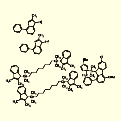 CC1=C(C)[CH]([Ge]([CH3])([CH3])[CH2]CCCCCC[CH2][Ge]([CH3])([CH3])[CH]2C(C)=C(C)c3ccccc32)c2ccccc21.CC1=C(C)[CH]([Ge]([CH3])([CH3])[CH2]CCCCCC[CH2][Ge]([CH3])([CH3])[CH]2C(C)=C(C)c3ccccc32)c2ccccc21.CC1=Cc2c(-c3ccccc3)cccc2[CH]1[Hf].CC1=Cc2c(-c3ccccc3)cccc2[CH]1[Hf].COc1ccc(-c2ccccc2)c2c1-c1ccc(Cl)cc1[CH]2[Ti]([CH3])([CH3])[C]1(C)C=CC(C(C)(C)C)=C1